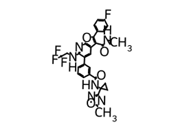 CNC(=O)c1c(-c2ccc(F)cc2)oc2nc(NCC(F)(F)F)c(-c3cccc(C(=O)NC4(c5noc(C)n5)CC4)c3)cc12